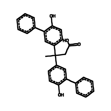 CC(CC(=O)O)(c1ccc(O)c(-c2ccccc2)c1)c1ccc(O)c(-c2ccccc2)c1